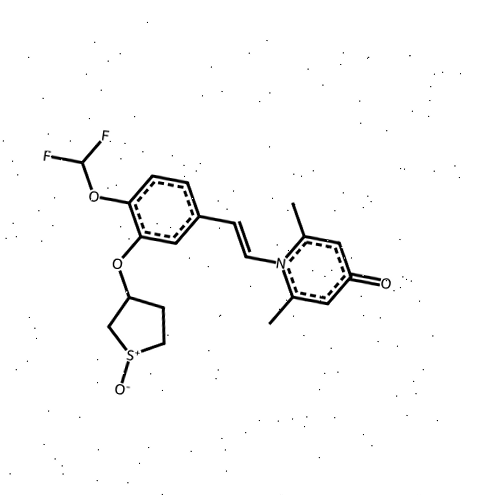 Cc1cc(=O)cc(C)n1/C=C/c1ccc(OC(F)F)c(OC2CC[S+]([O-])C2)c1